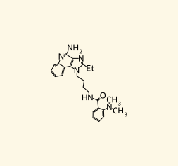 CCc1nc2c(N)nc3ccccc3c2n1CCCCNC(=O)c1ccccc1N(C)C